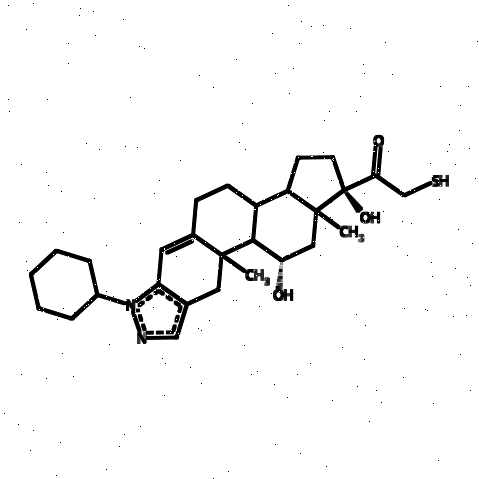 CC12Cc3cnn(C4CCCCC4)c3C=C1CCC1C2[C@@H](O)CC2(C)C1CC[C@]2(O)C(=O)CS